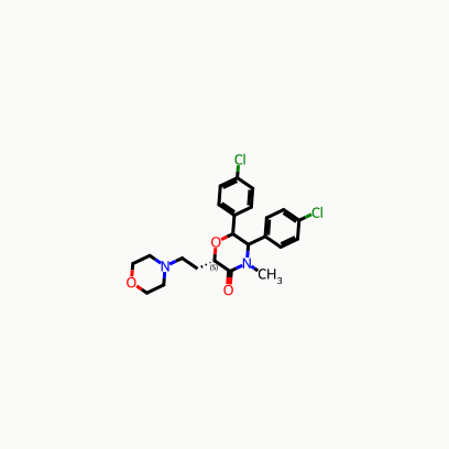 CN1C(=O)[C@H](CCN2CCOCC2)OC(c2ccc(Cl)cc2)C1c1ccc(Cl)cc1